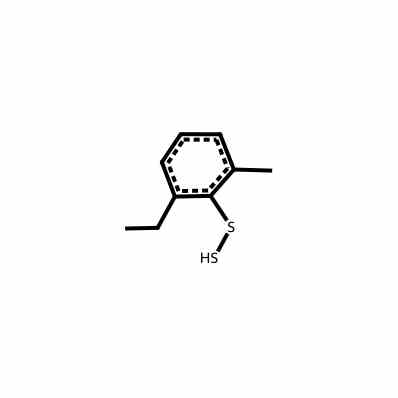 CCc1cccc(C)c1SS